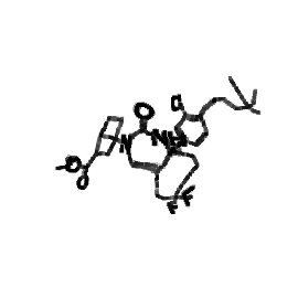 COC(=O)C1CC2(N3C=C4CC(F)(F)CC[C@@]4(c4ccc(CCC(C)(C)C)c(Cl)c4)NC3=O)CCC12